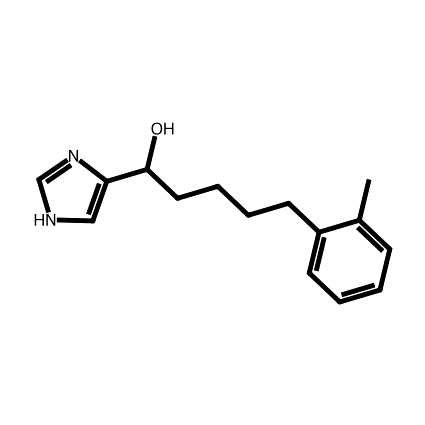 Cc1ccccc1CCCCC(O)c1c[nH]cn1